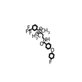 CC(C)(CCNC(=O)c1ccc(Oc2ccc(F)cc2)cc1)S(=O)(=O)c1cccc(C(F)(F)F)c1